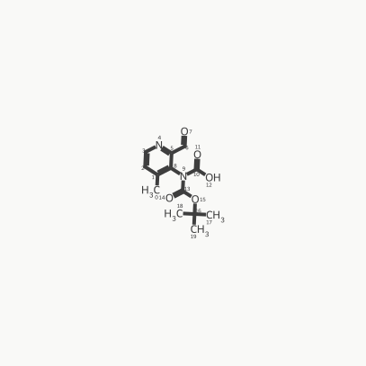 Cc1ccnc(C=O)c1N(C(=O)O)C(=O)OC(C)(C)C